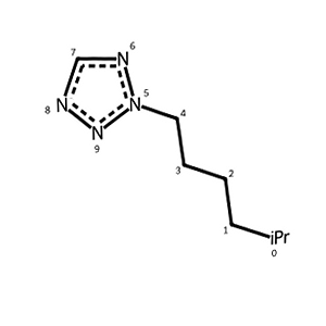 CC(C)CCCCn1ncnn1